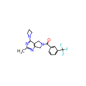 Cc1nc2c(c(N3CCC3)n1)CN(C(=O)c1cccc(C(F)(F)F)c1)C2